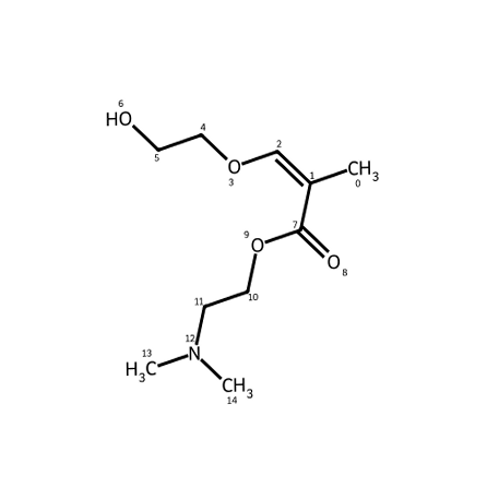 CC(=COCCO)C(=O)OCCN(C)C